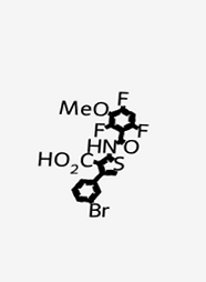 COc1c(F)cc(F)c(C(=O)Nc2scc(-c3cccc(Br)c3)c2C(=O)O)c1F